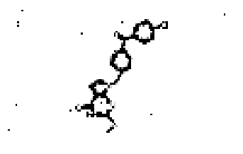 CSc1nc2c(ccn2Cc2ccc(C(=O)c3ccc(Cl)cc3)cc2)c(=O)[nH]1